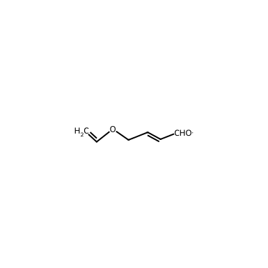 C=COCC=C[C]=O